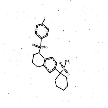 NS(=O)(=O)C1(c2ccc3c(c2)CCCN3S(=O)(=O)c2ccc(F)cc2)CCCCC1